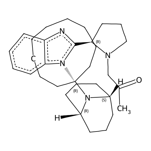 CC(=O)CN1CCC[C@@H]1c1nc2ccccc2n1[C@H]1C[C@H]2CCC[C@@H](C1)N2C1CCCCCCCCC1